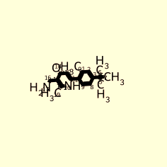 Cc1cc(C(C)(C)C)ccc1-c1cc(=O)c(CN)c(C)[nH]1